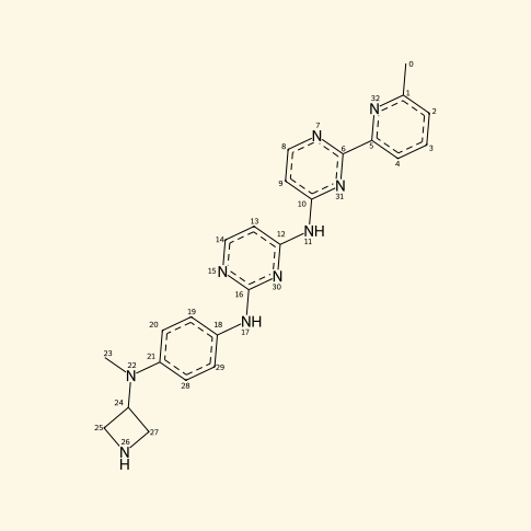 Cc1cccc(-c2nccc(Nc3ccnc(Nc4ccc(N(C)C5CNC5)cc4)n3)n2)n1